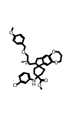 COC(=O)C1(Nc2cccc(Cl)c2)CCC2(CC1)c1cc3c(cc1CC2C[C@@H](C)COCc1ccc(OC)cc1)OCCCO3